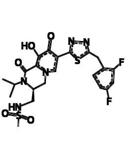 CC(C)N1C(=O)c2c(O)c(=O)c(-c3nnc(Cc4ccc(F)cc4F)s3)cn2C[C@H]1CNS(C)(=O)=O